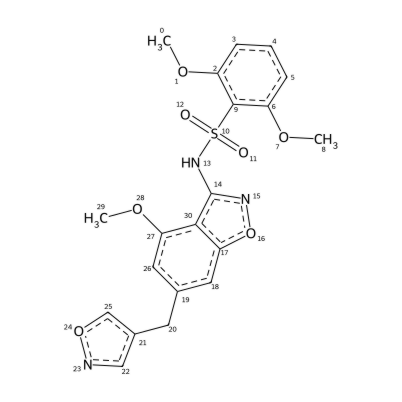 COc1cccc(OC)c1S(=O)(=O)Nc1noc2cc(Cc3cnoc3)cc(OC)c12